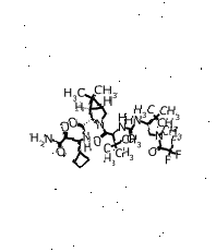 CN(C[C@@H](NC(=O)N[C@H](C(=O)N1C[C@H]2[C@@H]([C@H]1C(=O)NC(C(=O)C(N)=O)C1CCC1)C2(C)C)C(C)(C)C)C(C)(C)C)C(=O)C(F)(F)F